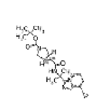 CC(C)(C)OC(=O)N1C[C@@H]2[C@H](C1)[C@H]2C(=O)NC(C)(C)c1ncc2c(C3CC3)cccn12